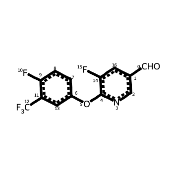 O=Cc1cnc(Oc2ccc(F)c(C(F)(F)F)c2)c(F)c1